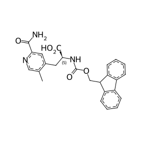 Cc1cnc(C(N)=O)cc1C[C@H](NC(=O)OCC1c2ccccc2-c2ccccc21)C(=O)O